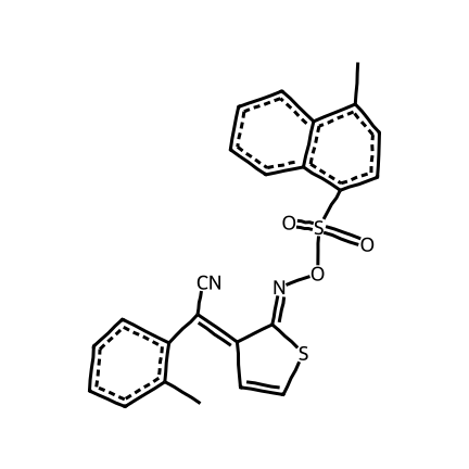 Cc1ccccc1/C(C#N)=C1\C=CS\C1=N/OS(=O)(=O)c1ccc(C)c2ccccc12